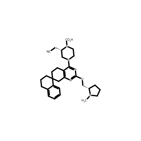 CN1CCC[C@H]1COc1nc2c(c(N3CCN(C(=O)O)[C@@H](CC#N)C3)n1)CCC1(CCCc3ccccc31)C2